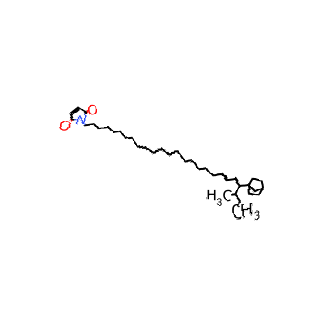 CCC(C)C(CC=CCCCCCCCCCCCCCCCCCCCN1C(=O)C=CC1=O)C12CCC(CC1)C2